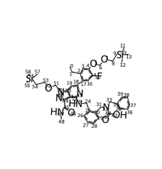 CCc1cc(OCOCC[Si](C)(C)C)c(F)cc1-c1cc2c(c(NCc3ccccc3CN(Cc3ccccc3)C(=O)O)n1)c(C(=O)NC)nn2COCC[Si](C)(C)C